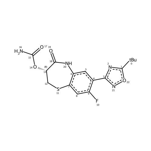 CC(C)(C)c1nc(-c2cc3c(cc2F)SC[C@H](OC(N)=O)C(=O)N3)no1